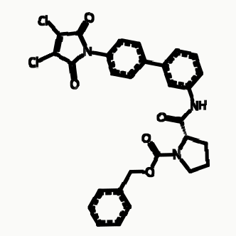 O=C(Nc1cccc(-c2ccc(N3C(=O)C(Cl)=C(Cl)C3=O)cc2)c1)[C@@H]1CCCN1C(=O)OCc1ccccc1